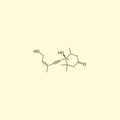 C/C(C#C[C@]1(O)C(C)CC(=O)CC1(C)C)=C/CO